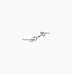 CCCCCCOc1ccc(C#Cc2ccc(CCC)cn2)cc1